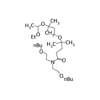 CCCCOCCN(CCOCCCC)C(=O)CCC(C)(C)OCCC(C)(C)OC(C)OCC